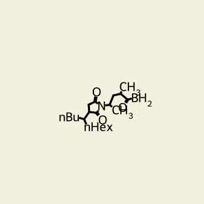 BC(=O)C(C)CC(C)N1C(=O)CC(C(CCCC)CCCCCC)C1=O